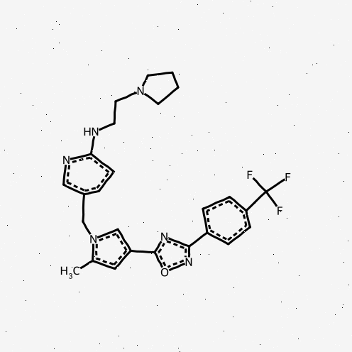 Cc1cc(-c2nc(-c3ccc(C(F)(F)F)cc3)no2)cn1Cc1ccc(NCCN2CCCC2)nc1